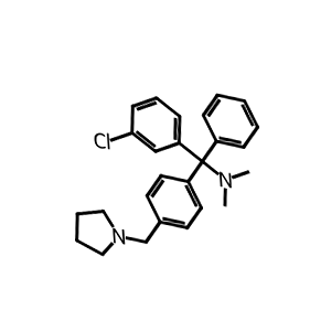 CN(C)C(c1ccccc1)(c1ccc(CN2CCCC2)cc1)c1cccc(Cl)c1